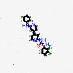 O=C(Nc1cc(-c2ccnc(Nc3ccccc3)c2)ccn1)Nc1ccc(F)c(F)c1F